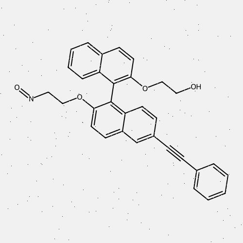 O=NCCOc1ccc2cc(C#Cc3ccccc3)ccc2c1-c1c(OCCO)ccc2ccccc12